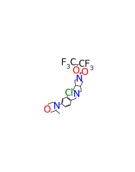 CC1COCCN1c1ccc(CN2CC3CN(C(=O)OC(C(F)(F)F)C(F)(F)F)CC3C2)c(Cl)c1